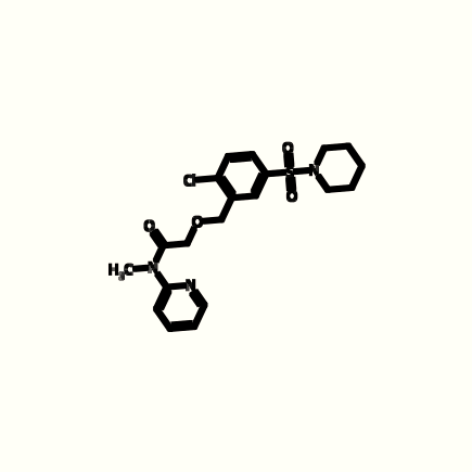 CN(C(=O)COCc1cc(S(=O)(=O)N2CCCCC2)ccc1Cl)c1ccccn1